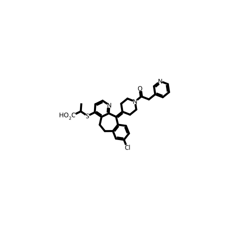 CC(Sc1ccnc2c1CCc1cc(Cl)ccc1C2=C1CCN(C(=O)Cc2cccnc2)CC1)C(=O)O